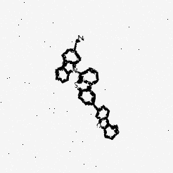 N#Cc1ccc2c3ccccc3n(-c3cccc4c3sc3ccc(-c5ccc6c(c5)oc5ccccc56)cc34)c2c1